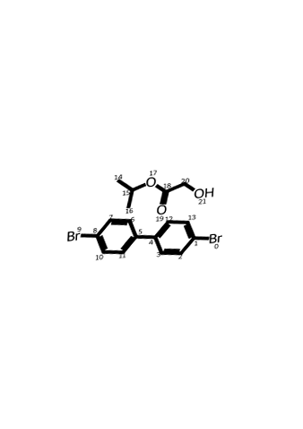 Brc1ccc(-c2ccc(Br)cc2)cc1.CC(C)OC(=O)CO